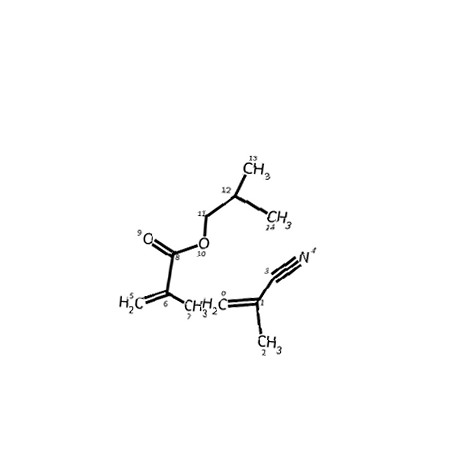 C=C(C)C#N.C=C(C)C(=O)OCC(C)C